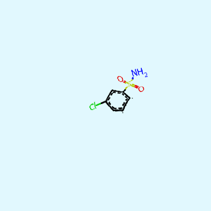 NS(=O)(=O)c1[c][c]cc(Cl)c1